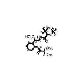 CCCCCCCCCCC(CCCCCCCCCC)C(=O)NC1CCCCC1C(CNC(=O)C1OC(C)(C)OCC1(C)C)C(=O)O